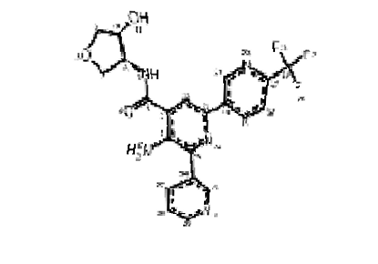 Nc1c(C(=O)N[C@H]2COC[C@H]2O)cc(-c2ccc(C(F)(F)F)nc2)nc1-c1cccnc1